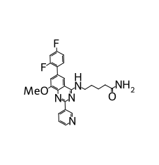 COc1cc(-c2ccc(F)cc2F)cc2c(NCCCCC(N)=O)nc(-c3cccnc3)nc12